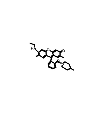 CCNc1cc2oc3cc(=O)c(C)cc-3c(-c3ccccc3C(=O)N3CCC(C)CC3)c2cc1C